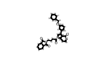 O=C1c2ccccc2C(=O)N1CCCC(=O)n1cc(-c2cccc(OCc3ccccc3)c2)c2c(Cl)nccc21